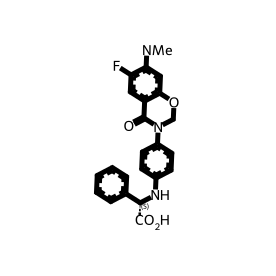 CNc1cc2c(cc1F)C(=O)N(c1ccc(N[C@H](C(=O)O)c3ccccc3)cc1)CO2